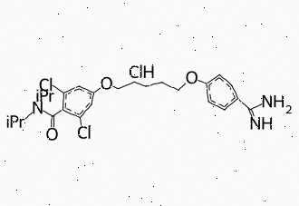 CC(C)N(C(=O)c1c(Cl)cc(OCCCCCOc2ccc(C(=N)N)cc2)cc1Cl)C(C)C.Cl